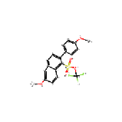 COc1ccc(-c2ccc3cc(OC)ccc3c2S(=O)(=O)OC(F)(F)F)cc1